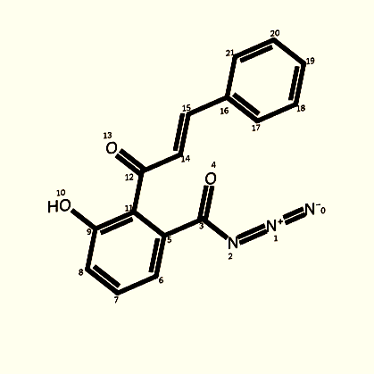 [N-]=[N+]=NC(=O)c1cccc(O)c1C(=O)C=Cc1ccccc1